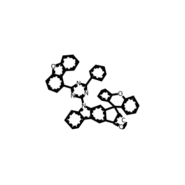 c1ccc(-c2nc(-c3cccc4oc5ccccc5c34)nc(-n3c4ccccc4c4cc5c(cc43)C3(c4ccccc4Oc4ccccc43)c3ccccc3-5)n2)cc1